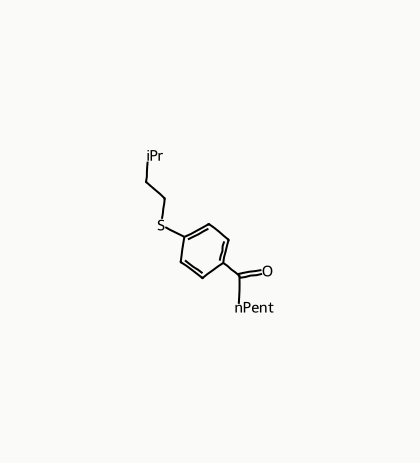 CCCCCC(=O)c1ccc(SCCC(C)C)cc1